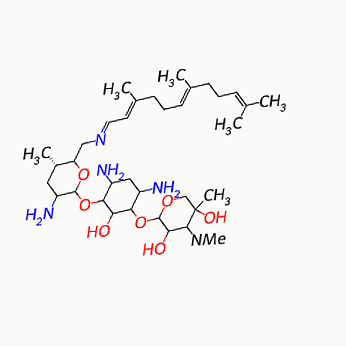 CNC1C(O)C(OC2C(N)CC(N)C(OC3OC(CN=C/C=C(\C)CC/C=C(\C)CCC=C(C)C)[C@@H](C)CC3N)C2O)OCC1(C)O